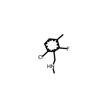 CNCc1c(Cl)ccc(C)c1F